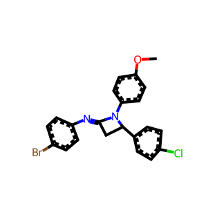 COc1ccc(N2/C(=N/c3ccc(Br)cc3)CC2c2ccc(Cl)cc2)cc1